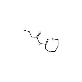 CCCC(=O)O/C1=C/CCCCCC1